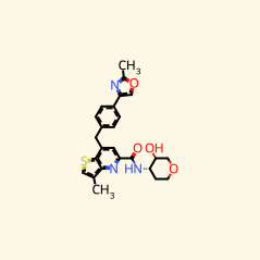 Cc1nc(-c2ccc(Cc3cc(C(=O)N[C@H]4CCOC[C@@H]4O)nc4c(C)csc34)cc2)co1